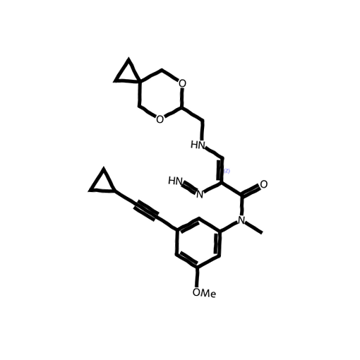 COc1cc(C#CC2CC2)cc(N(C)C(=O)/C(=C/NCC2OCC3(CC3)CO2)N=N)c1